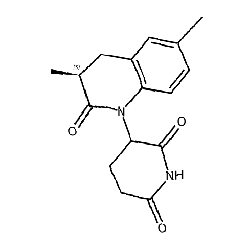 Cc1ccc2c(c1)C[C@H](C)C(=O)N2C1CCC(=O)NC1=O